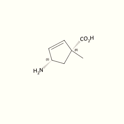 C[C@]1(C(=O)O)C=C[C@@H](N)C1